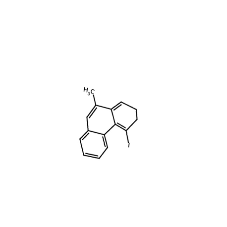 Cc1cc2ccccc2c2c1=CCCC=2I